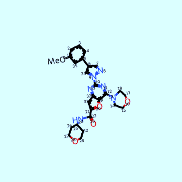 COc1cccc(-c2cnn(-c3nc(N4CCOCC4)c4oc(C(=O)NC5CCOCC5)cc4n3)c2)c1